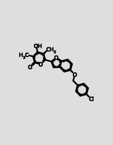 Cc1c(-c2cc3cc(OCc4ccc(Cl)cc4)ccc3o2)oc(=O)c(C)c1O